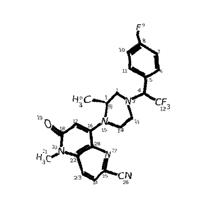 C[C@H]1CN(C(c2ccc(F)cc2)C(F)(F)F)CCN1c1cc(=O)n(C)c2ccc(C#N)nc12